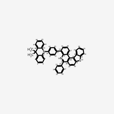 CC1(C)c2ccccc2N(c2ccc(-c3cccc4c3nc(-c3ccccc3)c3ccc5sc6ccccc6c5c34)cc2)c2ccccc21